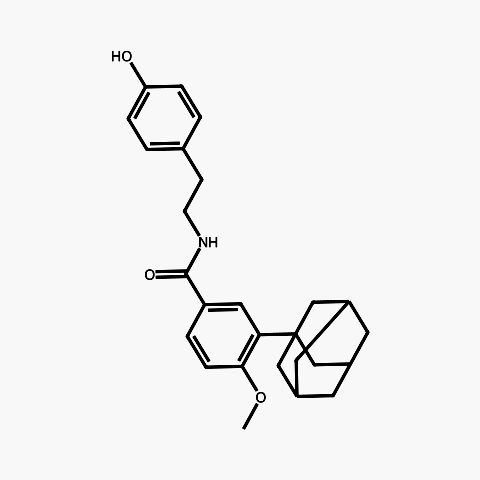 COc1ccc(C(=O)NCCc2ccc(O)cc2)cc1C12CC3CC(CC(C3)C1)C2